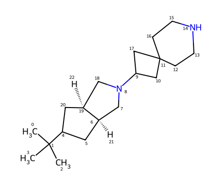 CC(C)(C)C1C[C@@H]2CN(C3CC4(CCNCC4)C3)C[C@@H]2C1